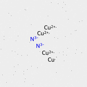 [Cu+2].[Cu+2].[Cu+2].[Cu].[N-3].[N-3]